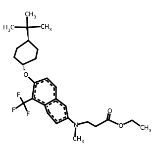 CCOC(=O)CCN(C)c1ccc2c(C(F)(F)F)c(O[C@H]3CC[C@H](C(C)(C)C)CC3)ccc2c1